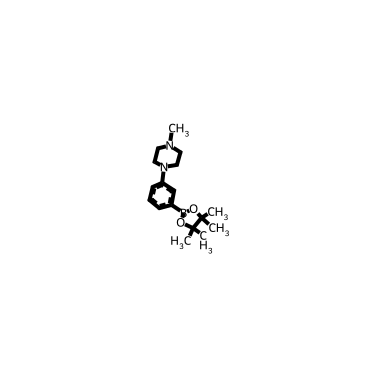 CN1CCN(c2cccc(B3OC(C)(C)C(C)(C)O3)c2)CC1